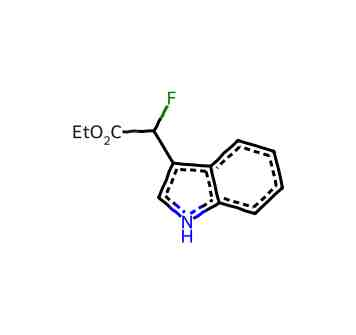 CCOC(=O)C(F)c1c[nH]c2ccccc12